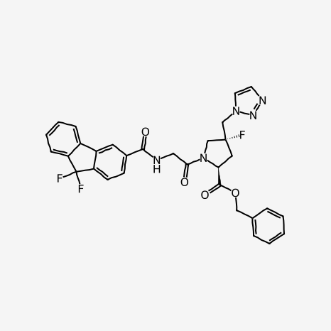 O=C(NCC(=O)N1C[C@@](F)(Cn2ccnn2)C[C@H]1C(=O)OCc1ccccc1)c1ccc2c(c1)-c1ccccc1C2(F)F